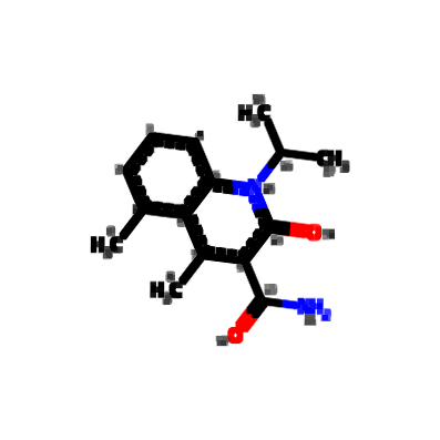 Cc1cccc2c1c(C)c(C(N)=O)c(=O)n2C(C)C